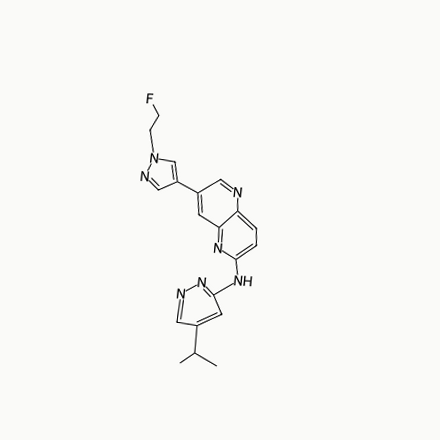 CC(C)c1cnnc(Nc2ccc3ncc(-c4cnn(CCF)c4)cc3n2)c1